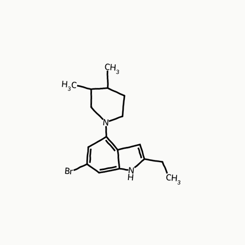 CCc1cc2c(N3CCC(C)C(C)C3)cc(Br)cc2[nH]1